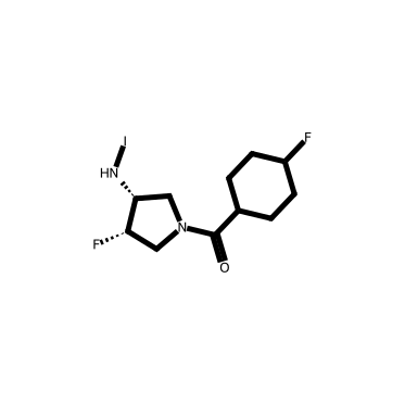 O=C(C1CCC(F)CC1)N1C[C@H](F)[C@H](NI)C1